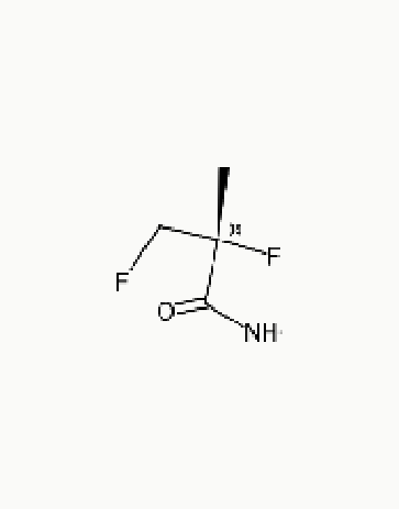 C[C@](F)(CF)C([NH])=O